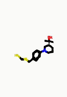 CC(C)(O)[C@@H]1CCCN(c2ccc(CSCS)cc2)C1